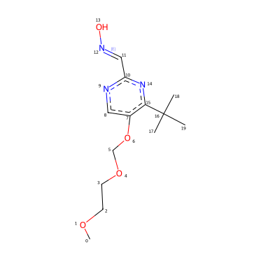 COCCOCOc1cnc(/C=N/O)nc1C(C)(C)C